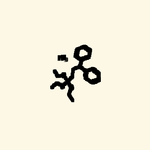 CCO[Si](CCP(c1ccccc1)c1ccccc1)(OCC)OCC.P